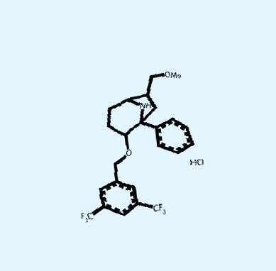 COCC1CC2(c3ccccc3)NC1CCC2OCc1cc(C(F)(F)F)cc(C(F)(F)F)c1.Cl